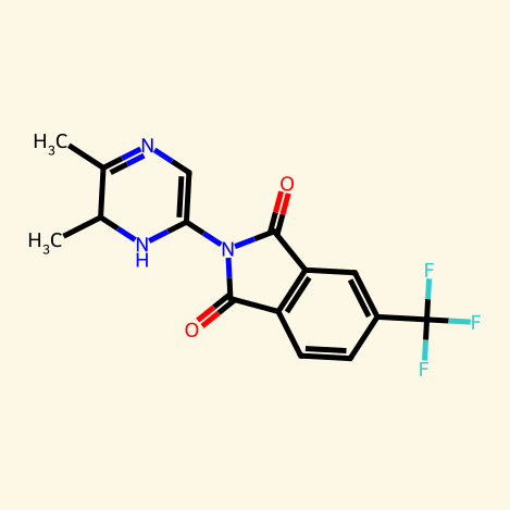 CC1=NC=C(N2C(=O)c3ccc(C(F)(F)F)cc3C2=O)NC1C